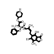 CCc1c(C)c2c(c(O)c1CC=C(C)C[PH](=O)N(Oc1ccccc1)[C@@H](C)C(=O)OC1CCNCC1)C(=O)OC2